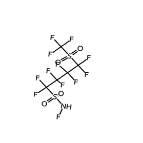 O=S(=O)(NF)C(F)(F)C(F)(F)C(F)(F)C(F)(F)S(=O)(=O)C(F)(F)F